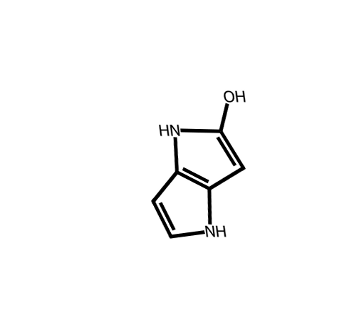 Oc1cc2[nH]ccc2[nH]1